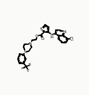 O=C(OCCN1CCN(c2cccc(C(F)(F)F)c2)CC1)c1sccc1Nc1ccnc2c(Cl)cccc12